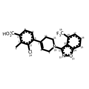 Cc1c(C(=O)O)ccc(C2=CCN(c3noc4cccc(C(F)(F)F)c34)CC2)c1Cl